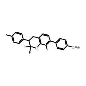 COc1ccc(-c2ccc3c(c2F)OC(F)(F)C(c2ccc(C)cc2)C3)cc1